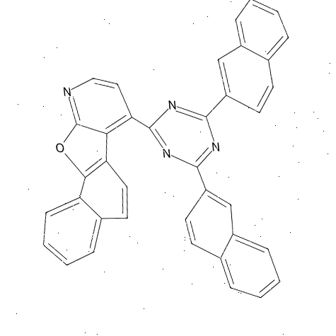 c1ccc2cc(-c3nc(-c4ccc5ccccc5c4)nc(-c4ccnc5oc6c7ccccc7ccc6c45)n3)ccc2c1